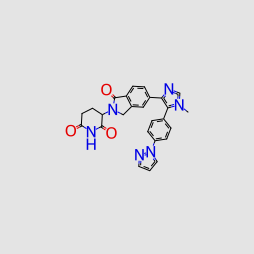 Cn1cnc(-c2ccc3c(c2)CN(C2CCC(=O)NC2=O)C3=O)c1-c1ccc(-n2cccn2)cc1